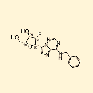 OC[C@H]1O[C@@H](c2cnc3c(NCc4ccccc4)ncnn23)[C@@H](F)[C@@H]1O